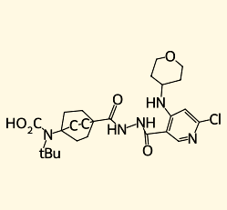 CC(C)(C)N(C(=O)O)C12CCC(C(=O)NNC(=O)c3cnc(Cl)cc3NC3CCOCC3)(CC1)CC2